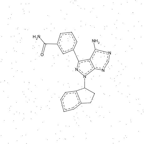 NC(=O)c1cccc(-c2nn(C3CCc4ccccc43)c3ncnc(N)c23)c1